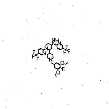 CCOc1cc(CN2CCC(C3CC(N(N)c4ccc(C(F)(F)F)cn4)CCN3c3ccc(C(F)(F)F)cn3)CC2)cc(OCC)c1F